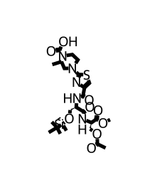 COC(=O)[C@H](COC(C)=O)NC(=O)[C@H](CO[Si](C)(C)C(C)(C)C)NC(=O)c1csc(N2CCN(C(=O)O)C(C)C2)n1